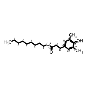 CCCCCCCCCOC(=O)CCc1cc(C)c(O)c(C)c1